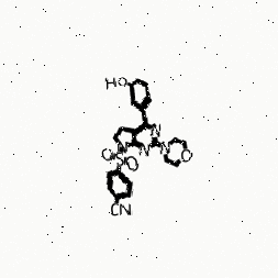 N#Cc1ccc(S(=O)(=O)N2CCc3c(-c4cccc(O)c4)nc(N4CCOCC4)nc32)cc1